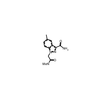 CNC(=O)Cn1nc(C(N)=O)c2cc(C)[c]cc21